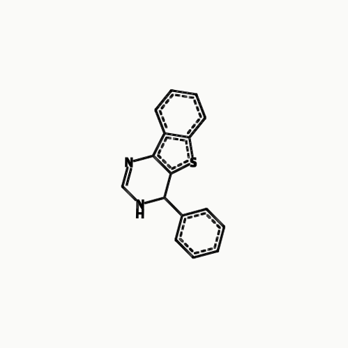 C1=Nc2c(sc3ccccc23)C(c2ccccc2)N1